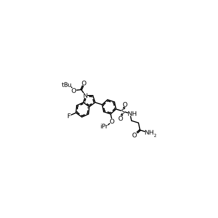 CC(C)Oc1cc(-c2cn(C(=O)OC(C)(C)C)c3cc(F)ccc23)ccc1S(=O)(=O)NCCC(N)=O